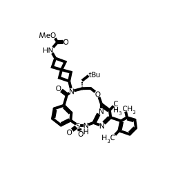 COC(=O)NC1CC2(C1)CC(N1C(=O)c3cccc(c3)S(=O)(=O)Nc3nc(c(C)c(-c4c(C)cccc4C)n3)OC[C@H]1CC(C)(C)C)C2